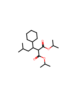 CC(C)CC(C1CCCCC1)C(C(=O)OC(C)C)C(=O)OC(C)C